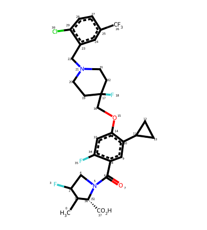 CC1C(F)CN(C(=O)c2cc(C3CC3)c(OCC3(F)CCN(Cc4cc(C(F)(F)F)ccc4Cl)CC3)cc2F)[C@@H]1C(=O)O